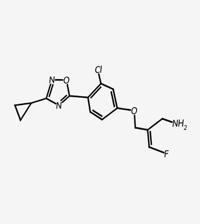 NC/C(=C\F)COc1ccc(-c2nc(C3CC3)no2)c(Cl)c1